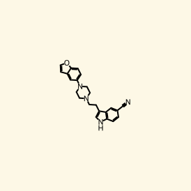 N#Cc1ccc2[nH]cc(CCN3CCN(c4ccc5occc5c4)CC3)c2c1